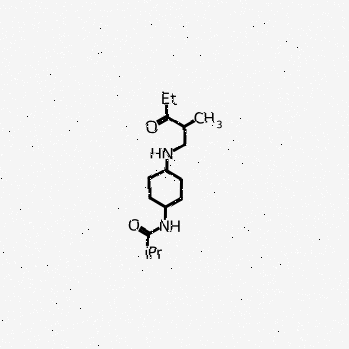 CCC(=O)C(C)CNC1CCC(NC(=O)C(C)C)CC1